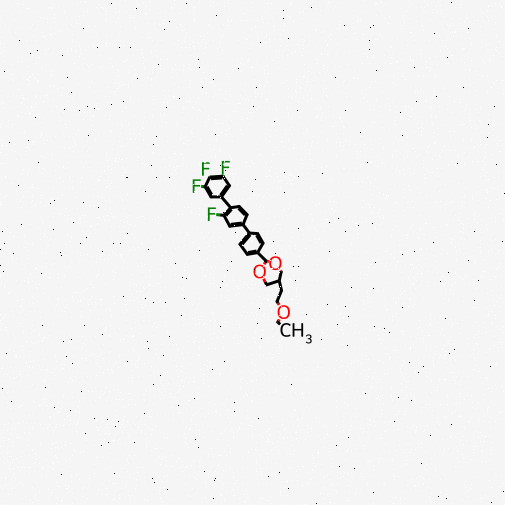 CCOCCC1COC(c2ccc(-c3ccc(-c4cc(F)c(F)c(F)c4)c(F)c3)cc2)OC1